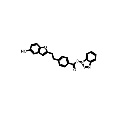 N#Cc1ccc2oc(CCc3ccc(C(=O)On4nnc5ccccc54)cc3)cc2c1